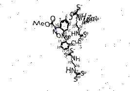 CO/N=C(/C(=O)OC)c1ccccc1COc1ccccc1C.S=C([S-])NCCNC(=S)[S-].S=C([S-])NCCNC(=S)[S-].[Mn+2].[Zn+2]